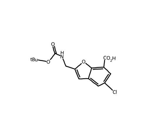 CC(C)(C)OC(=O)NCc1cc2cc(Cl)cc(C(=O)O)c2o1